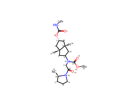 CC(C)NC(=O)O[C@H]1C[C@H]2CC(N(CC(=O)N3CCC[C@H]3C#N)C(=O)OC(C)(C)C)C[C@H]2C1